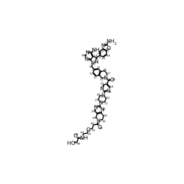 Nc1nc2cc(-c3nn(Cc4ccc5c(c4)CCN(C(=O)c4cnc(N6CCN(c7ncc8c(n7)CCN(C(=O)CCOCCNC(=O)CO)C8)CC6)nc4)C5)c4ncnc(N)c34)ccc2o1